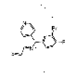 Fc1ccc(C(N=CC=S)c2ccncc2)cc1Br